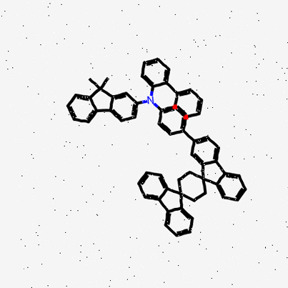 CC1(C)c2ccccc2-c2ccc(N(c3ccc(-c4ccc5c(c4)C4(CCC6(CC4)c4ccccc4-c4ccccc46)c4ccccc4-5)cc3)c3ccccc3-c3ccccc3)cc21